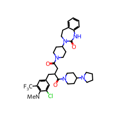 CNc1c(Cl)cc(CC(CC(=O)N2CCC(N3CCc4ccccc4NC3=O)CC2)C(=O)N2CCC(N3CCCC3)CC2)cc1C(F)(F)F